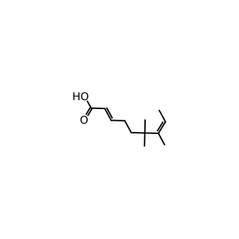 CC=C(C)C(C)(C)CCC=CC(=O)O